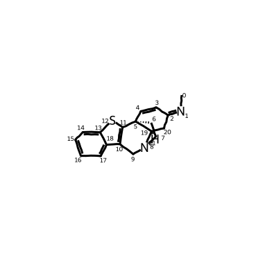 C/N=C1\C=C[C@]23CCN(Cc4c2sc2ccccc42)[C@H]3C1